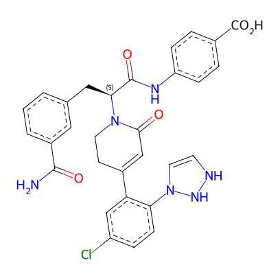 NC(=O)c1cccc(C[C@@H](C(=O)Nc2ccc(C(=O)O)cc2)N2CCC(c3cc(Cl)ccc3N3C=CNN3)=CC2=O)c1